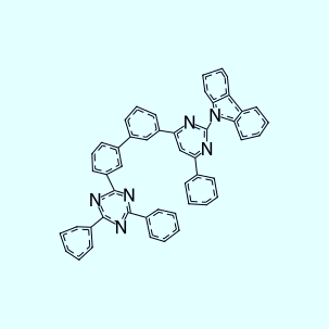 c1ccc(-c2cc(-c3cccc(-c4cccc(-c5nc(-c6ccccc6)nc(-c6ccccc6)n5)c4)c3)nc(-n3c4ccccc4c4ccccc43)n2)cc1